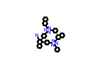 N#Cc1cc2ccccc2c(-c2ccc(-c3nc(-c4ccccc4)nc(-c4ccc5ccccc5c4)n3)cc2)c1-c1ccc(-c2nc(-c3ccccc3)nc(-c3ccc4ccccc4c3)n2)cc1